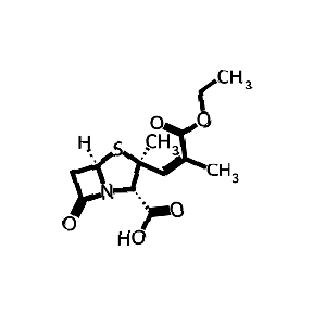 CCOC(=O)C(C)=C[C@]1(C)S[C@@H]2CC(=O)N2[C@H]1C(=O)O